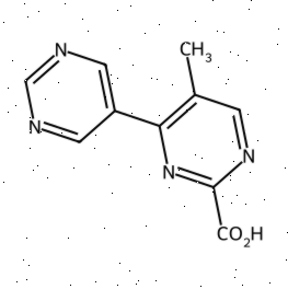 Cc1cnc(C(=O)O)nc1-c1cncnc1